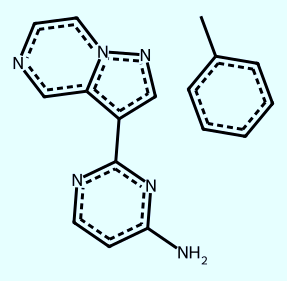 Cc1ccccc1.Nc1ccnc(-c2cnn3ccncc23)n1